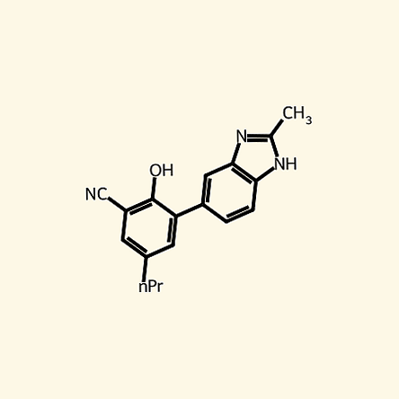 CCCc1cc(C#N)c(O)c(-c2ccc3[nH]c(C)nc3c2)c1